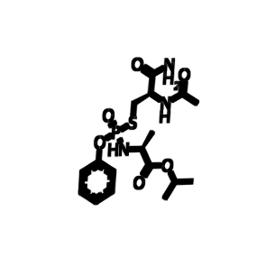 CC(=O)N[C@@H](CSP(=O)(N[C@@H](C)C(=O)OC(C)C)Oc1ccccc1)C(N)=O